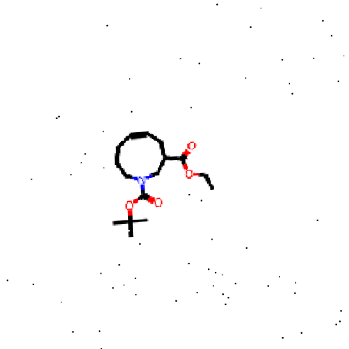 CCOC(=O)C1CC=CCCCN(C(=O)OC(C)(C)C)C1